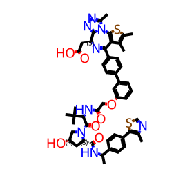 Cc1ncsc1-c1ccc(C(C)NC(=O)[C@@H]2C[C@@H](O)CN2C(=O)C(NC(=O)COc2cccc(-c3ccc(C4=N[C@@H](CC(=O)O)c5nnc(C)n5-c5sc(C)c(C)c54)cc3)c2)C(C)(C)C)cc1